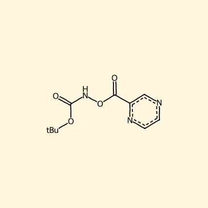 CC(C)(C)OC(=O)NOC(=O)c1cnccn1